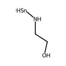 OCC[NH][SnH]